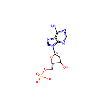 Nc1ncnc2c1ncn2[C@H]1CC(O)[C@@H](COP(=O)(O)O)O1